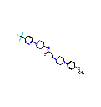 COc1ccc(N2CCN(CCC(=O)NC3CCN(c4ccc(C(F)(F)F)cn4)CC3)CC2)cc1